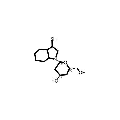 OC[C@@H]1C[C@H](O)C[C@H](N2CC(S)C3CCCCC32)O1